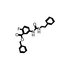 O=C(NCCc1ccccc1)Nc1ccc(F)c(C(=O)OCc2ccccc2)c1